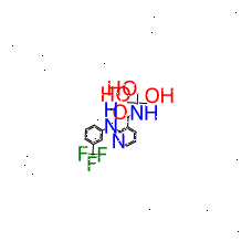 O=C(NC(CO)(CO)CO)c1cccnc1Nc1cccc(C(F)(F)F)c1